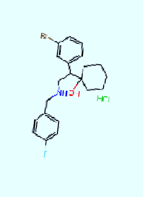 Cl.OC1(C(CNCc2ccc(F)cc2)c2cccc(Br)c2)CCCCC1